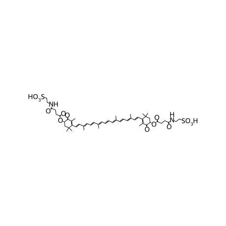 CC1=C(/C=C/C(C)=C/C=C/C(C)=C/C=C/C=C(C)/C=C/C=C(C)/C=C/C2=C(C)C(=O)C(OC(=O)CCC(=O)NCCS(=O)(=O)O)CC2(C)C)C(C)(C)CC(OC(=O)CCC(=O)NCCS(=O)(=O)O)C1=O